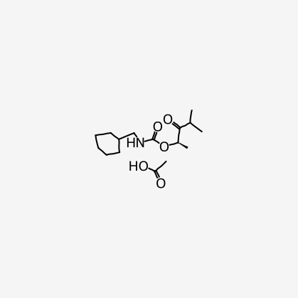 CC(=O)O.CC(C)C(=O)[C@@H](C)OC(=O)NCC1CCCCC1